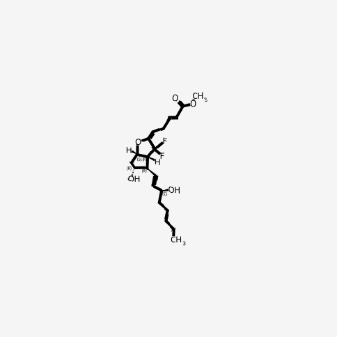 CCCCC[C@H](O)C=C[C@@H]1[C@@H]2[C@H](C[C@H]1O)OC(=CCCCC(=O)OC)C2(F)F